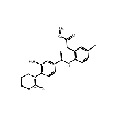 CC[C@H]1CCCCN1c1ccc(C(=O)Nc2ccc(F)cc2CC(=O)OC(C)(C)C)cc1N